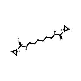 O=C(NCCCCCCNC(=O)N1CC1)N1CC1